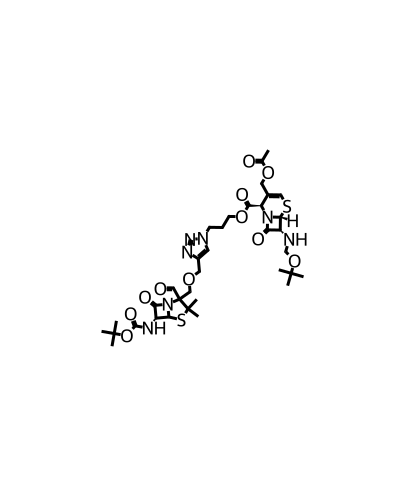 CC(=O)OCC1=CS[C@@H]2[C@H](NCOC(C)(C)C)C(=O)N2[C@H]1C(=O)OCCCn1cc(COCC2(C=O)N3C(=O)[C@@H](NC(=O)OC(C)(C)C)C3SC2(C)C)nn1